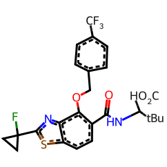 CC(C)(C)C(NC(=O)c1ccc2sc(C3(F)CC3)nc2c1OCc1ccc(C(F)(F)F)cc1)C(=O)O